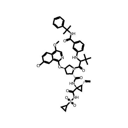 C=C[C@@H]1C[C@]1(NC(=O)[C@@H]1C[C@@H](Oc2ncc(OC)c3ccc(Cl)cc23)CN1C(=O)C(Nc1cccc(C(=O)NC(C)(C)c2ccccc2)c1)C(C)(C)C)C(=O)NS(=O)(=O)C1CC1